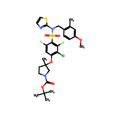 COc1ccc(CN(c2nccs2)S(=O)(=O)c2c(F)cc(OC3(C)CCN(C(=O)OC(C)(C)C)C3)c(Cl)c2F)c(C)c1